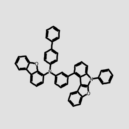 c1ccc(-c2ccc(N(c3cccc(-c4cccc5c4c4c6ccccc6oc4n5-c4ccccc4)c3)c3cccc4c3oc3ccccc34)cc2)cc1